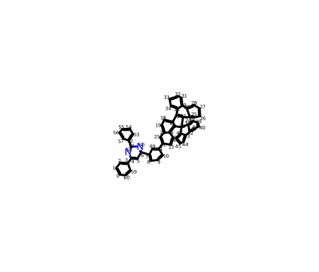 c1ccc(-c2cc(-c3cccc(-c4ccc5c6c(ccc5c4)-c4c(c5ccccc5c5ccccc45)C64c5ccccc5-c5ccccc54)c3)nc(-c3ccccc3)n2)cc1